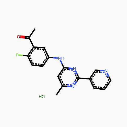 CC(=O)c1cc(Nc2cc(C)nc(-c3cccnc3)n2)ccc1F.Cl